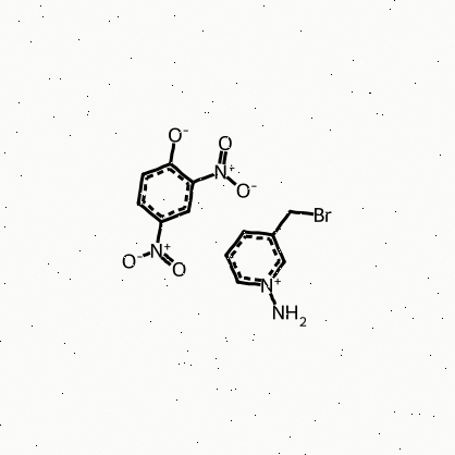 N[n+]1cccc(CBr)c1.O=[N+]([O-])c1ccc([O-])c([N+](=O)[O-])c1